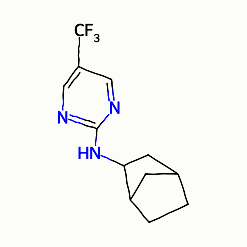 FC(F)(F)c1cnc(NC2CC3CCC2C3)nc1